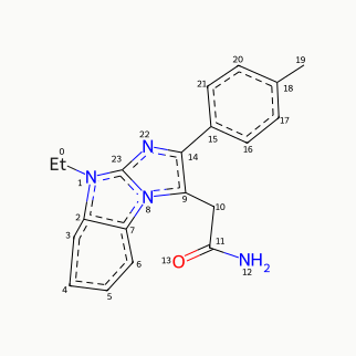 CCn1c2ccccc2n2c(CC(N)=O)c(-c3ccc(C)cc3)nc12